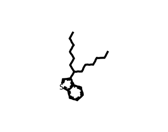 CCCCCCC(CCCCCC)c1csc2ccccc12